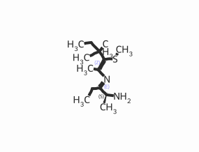 CC/C(=N\C(C)=C(/SC)C(C)(C)CC)[C@H](C)N